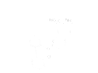 NC1(C(=O)O)CCc2ccc(Oc3ccccc3-c3ccccc3Cl)cc2C1